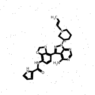 CC=CN1CCC[C@@H](n2nc(-c3ccc(NC(=O)c4ccc[nH]4)c4c3OCO4)c3c(N)ncnc32)C1